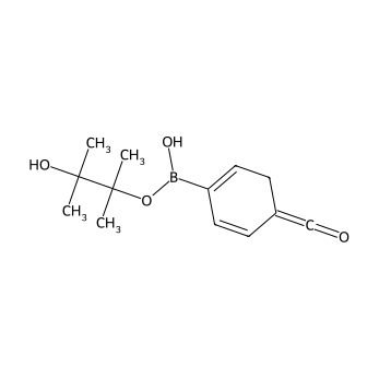 CC(C)(O)C(C)(C)OB(O)C1=CCC(=C=O)C=C1